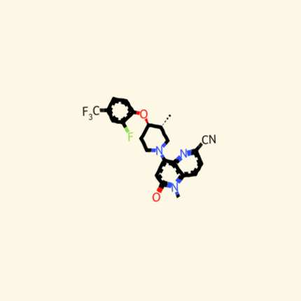 C[C@@H]1CN(c2cc(=O)n(C)c3ccc(C#N)nc23)CC[C@H]1Oc1ccc(C(F)(F)F)cc1F